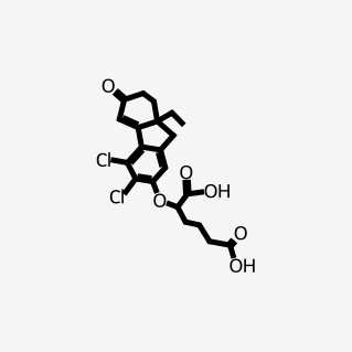 CCC12CCC(=O)C=C1c1c(cc(OC(CCCC(=O)O)C(=O)O)c(Cl)c1Cl)C2